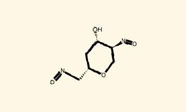 O=NC[C@@H]1C[C@H](O)[C@@H](N=O)CO1